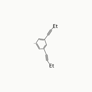 CCC#Cc1c[c]cc(C#CCC)c1